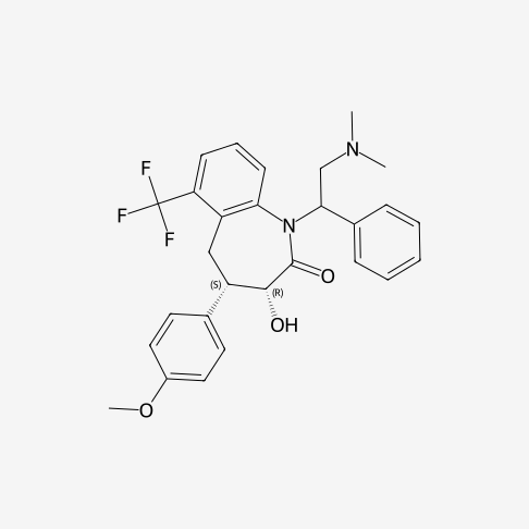 COc1ccc([C@@H]2Cc3c(cccc3C(F)(F)F)N(C(CN(C)C)c3ccccc3)C(=O)[C@@H]2O)cc1